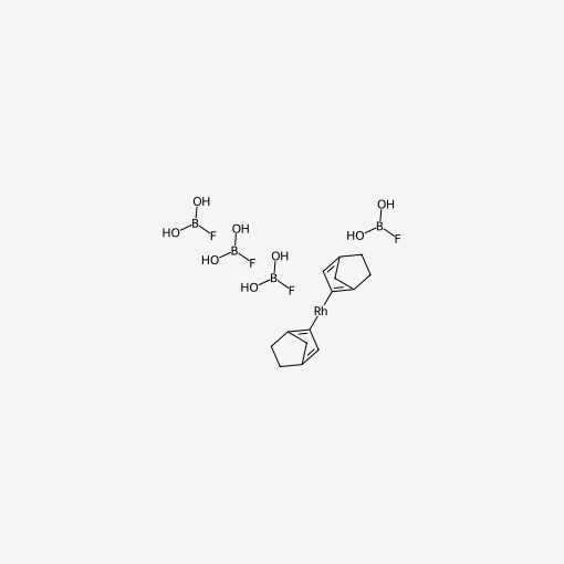 C1=C2CCC(=[C]1[Rh][C]1=C3CCC(=C1)C3)C2.OB(O)F.OB(O)F.OB(O)F.OB(O)F